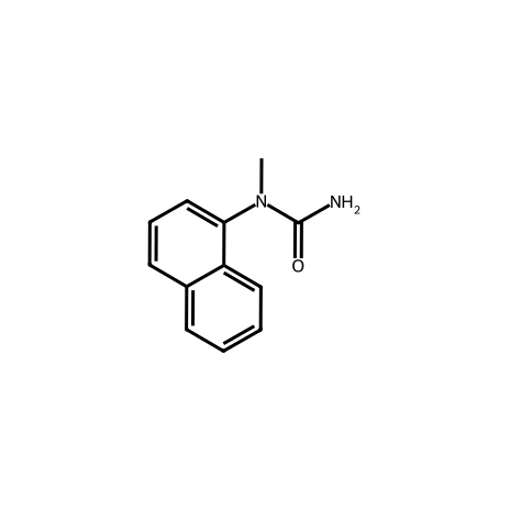 CN(C(N)=O)c1cccc2ccccc12